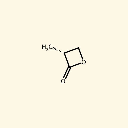 C[C@@H]1COC1=O